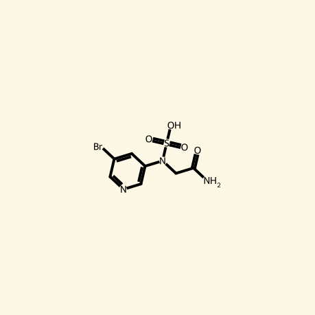 NC(=O)CN(c1cncc(Br)c1)S(=O)(=O)O